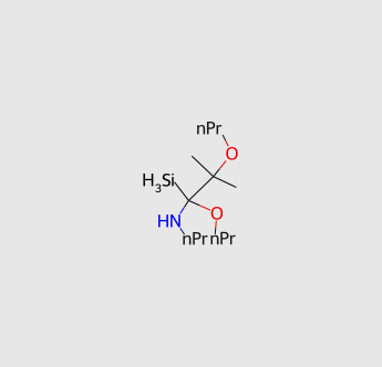 CCCNC([SiH3])(OCCC)C(C)(C)OCCC